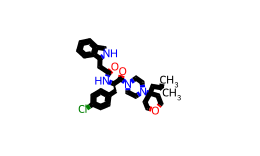 CC(C)CC1(N2CCN(C(=O)[C@@H](Cc3ccc(Cl)cc3)NC(=O)CC3NCc4ccccc43)CC2)CCOCC1